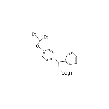 CCC(CC)Oc1ccc(C(CC(=O)O)c2ccccc2)cc1